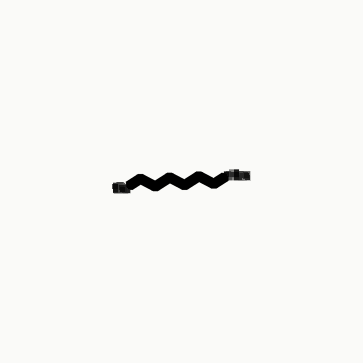 [CH2]C([CH2])(C)CCCCCCCCCCCC